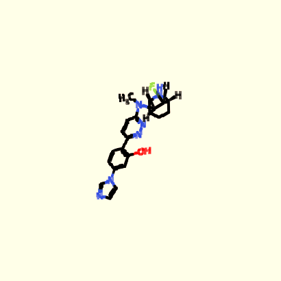 CN(c1ccc(-c2ccc(-n3ccnc3)cc2O)nn1)[C@H]1[C@@H]2CC[C@@H](NC2)[C@H]1F